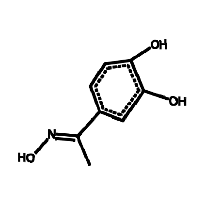 C/C(=N\O)c1ccc(O)c(O)c1